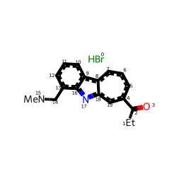 Br.CCC(=O)c1cccc2c3cccc(CNC)c3nc-2c1